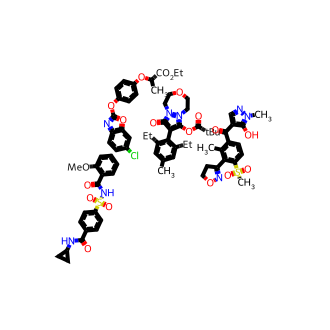 CCOC(=O)C(C)Oc1ccc(Oc2nc3ccc(Cl)cc3o2)cc1.CCc1cc(C)cc(CC)c1-c1c(OC(=O)C(C)(C)C)n2n(c1=O)CCOCC2.COc1ccccc1C(=O)NS(=O)(=O)c1ccc(C(=O)NC2CC2)cc1.Cc1c(C(=O)c2cnn(C)c2O)ccc(S(C)(=O)=O)c1C1=NOCC1